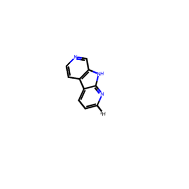 [2H]c1ccc2c(n1)[nH]c1cnccc12